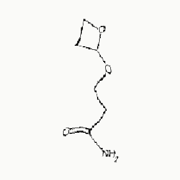 NC(=O)CCOC1CCO1